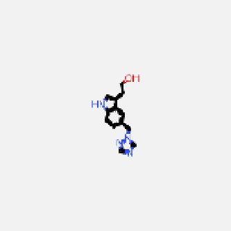 OCCc1c[nH]c2ccc(Cn3cncn3)cc12